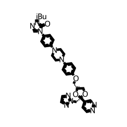 CCC(C)n1ncn(-c2ccc(N3CCN(c4ccc(OC[C@@H]5CO[C@@](Cn6nccn6)(c6ccnnc6)O5)cc4)CC3)cc2)c1=O